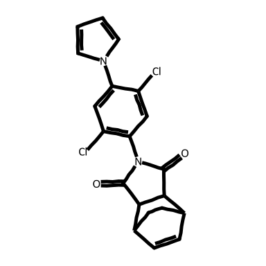 O=C1C2C3C=CC(CC3)C2C(=O)N1c1cc(Cl)c(-n2cccc2)cc1Cl